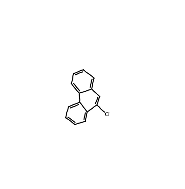 Clc1cc2ccccc2c2ccccc12